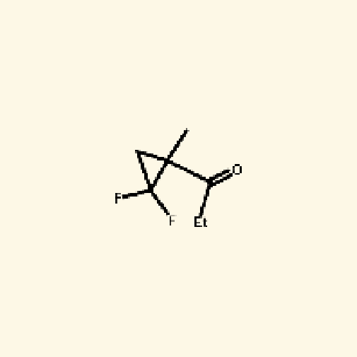 CCC(=O)C1(C)CC1(F)F